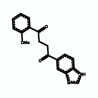 COc1ccccc1C(=O)CCC(=O)c1ccc2[nH]cnc2c1